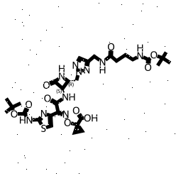 CC(C)(C)OC(=O)NCCCC(=O)NCc1cnn(C[C@H]2NC(=O)[C@H]2NC(=O)C(=NOC2(C(=O)O)CC2)c2csc(NC(=O)OC(C)(C)C)n2)n1